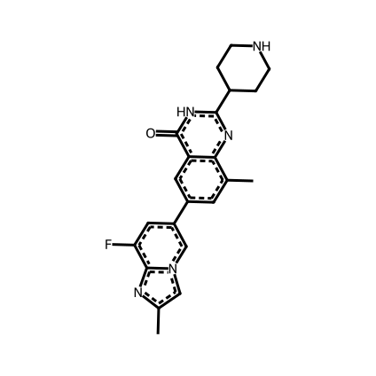 Cc1cn2cc(-c3cc(C)c4nc(C5CCNCC5)[nH]c(=O)c4c3)cc(F)c2n1